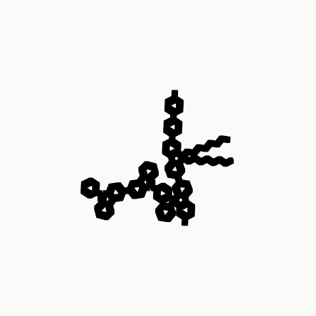 CCCCCCCCC1(CCCCCCCC)c2cc(-c3ccc(-c4ccc(C)cc4)cc3)ccc2-c2ccc(-c3ccc4c(c3)C(c3ccccc3)(c3ccc(-n5c6ccccc6c6cc(-c7ccc8c(c7)c7ccccc7n8-c7ccccc7)ccc65)cc3)c3cc(C)ccc3-4)cc21